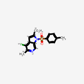 Cc1ccc(S(=O)(=O)n2c(C(=O)O)cc3c(F)c(C)ncc32)cc1